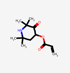 C=CC(=O)OC1CC(C)(C)NC(C)(C)C1=O